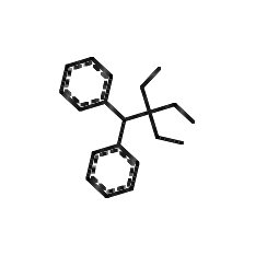 CCC(CC)(CC)C(c1ccccc1)c1ccccc1